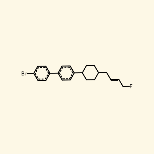 FC/C=C/CC1CCC(c2ccc(-c3ccc(Br)cc3)cc2)CC1